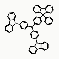 c1ccc(C2(c3ccc(N(c4ccc(-n5c6ccccc6c6ccccc65)cc4)c4ccc(-n5c6ccccc6c6ccccc65)cc4)cc3)c3ccccc3-c3ccccc32)cc1